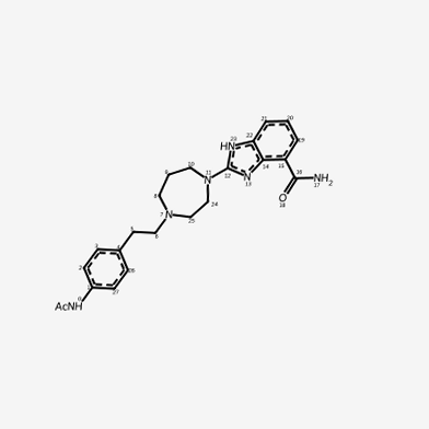 CC(=O)Nc1ccc(CCN2CCCN(c3nc4c(C(N)=O)cccc4[nH]3)CC2)cc1